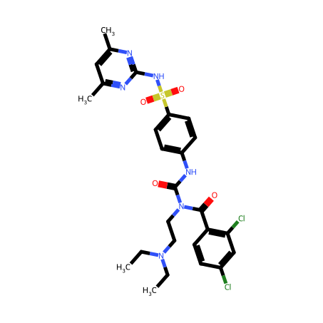 CCN(CC)CCN(C(=O)Nc1ccc(S(=O)(=O)Nc2nc(C)cc(C)n2)cc1)C(=O)c1ccc(Cl)cc1Cl